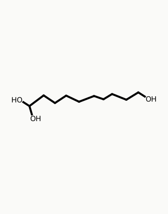 OCCCCCCCCCC(O)O